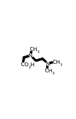 CN(C)CCN(C)CC(=O)O